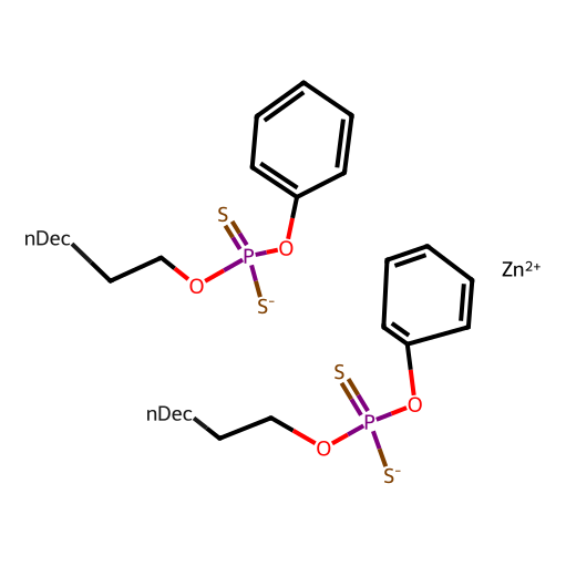 CCCCCCCCCCCCOP(=S)([S-])Oc1ccccc1.CCCCCCCCCCCCOP(=S)([S-])Oc1ccccc1.[Zn+2]